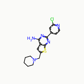 Nc1nc(-c2ccnc(Cl)c2)nc2sc(CN3CCCCC3)cc12